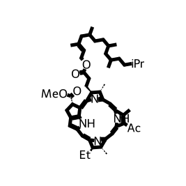 CC[C@H]1c2cc3cc4c([nH]3)c(c3nc(cc5[nH]c(cc(n2)[C@@H]1C)c(C(C)=O)c5C)[C@@H](C)[C@@H]3CCC(=O)OC/C=C(\C)CC(C)CCC(C)CC(C)CCC(C)C)[C@@H](C(=O)OC)C4